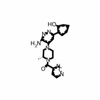 C[C@@H]1CN(c2cc(-c3ccccc3O)nnc2N)CCN1C(=O)c1ccncn1